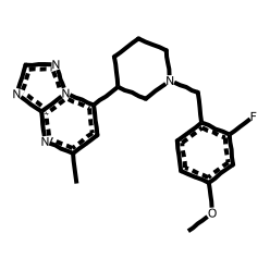 COc1ccc(CN2CCCC(c3cc(C)nc4ncnn34)C2)c(F)c1